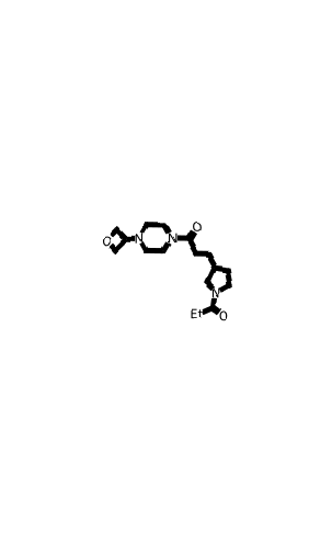 CCC(=O)N1CCC(CCC(=O)N2CCN(C3COC3)CC2)C1